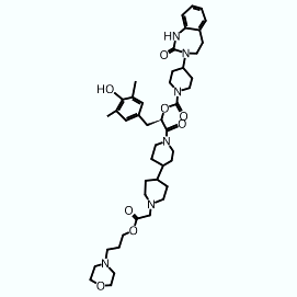 Cc1cc(C[C@@H](OC(=O)N2CCC(N3CCc4ccccc4NC3=O)CC2)C(=O)N2CCC(C3CCN(CC(=O)OCCCN4CCOCC4)CC3)CC2)cc(C)c1O